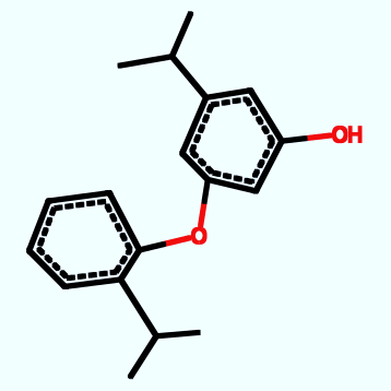 CC(C)c1cc(O)cc(Oc2ccccc2C(C)C)c1